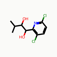 CC(C)C(O)C(O)c1nc(Cl)ccc1Cl